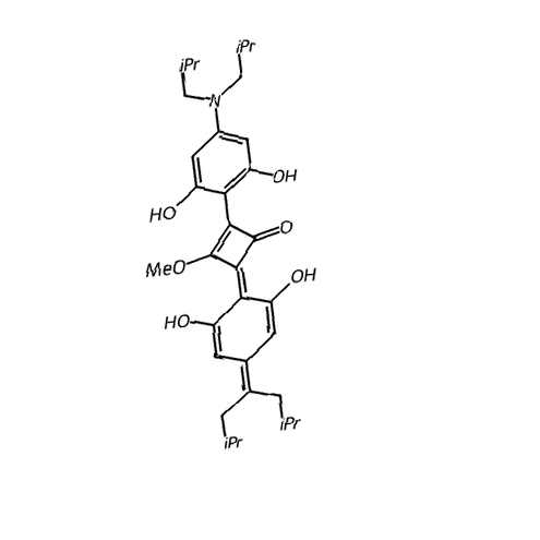 COC1=C(c2c(O)cc(N(CC(C)C)CC(C)C)cc2O)C(=O)C1=c1c(O)cc(=C(CC(C)C)CC(C)C)cc1O